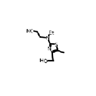 CCN(CCC#N)c1nc(CO)c(C)s1